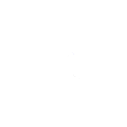 O=C(Nc1ccccc1)c1ccc(Oc2ccccc2)c([N+](=O)[O-])c1